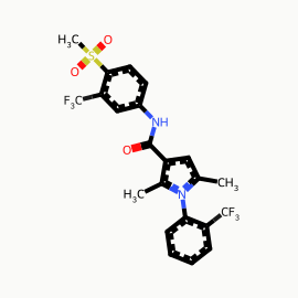 Cc1cc(C(=O)Nc2ccc(S(C)(=O)=O)c(C(F)(F)F)c2)c(C)n1-c1ccccc1C(F)(F)F